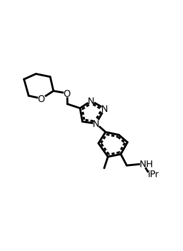 Cc1cc(-n2cc(COC3CCCCO3)nn2)ccc1CNC(C)C